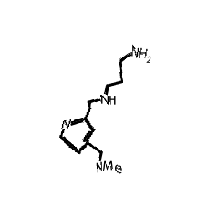 CNCc1ccnc(CNCCCN)c1